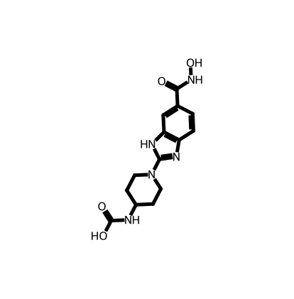 O=C(O)NC1CCN(c2nc3ccc(C(=O)NO)cc3[nH]2)CC1